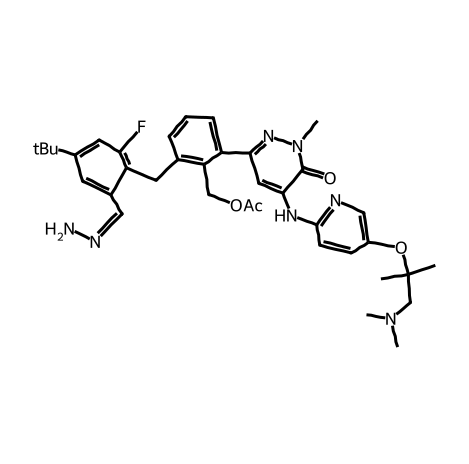 CC(=O)OCc1c(Cc2c(F)cc(C(C)(C)C)cc2/C=N\N)cccc1-c1cc(Nc2ccc(OC(C)(C)CN(C)C)cn2)c(=O)n(C)n1